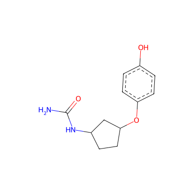 NC(=O)NC1CCC(Oc2ccc(O)cc2)C1